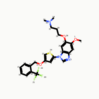 COc1cc2ncn(-c3cc(OCc4ccccc4C(F)(F)F)cs3)c2cc1OCCCN(C)C